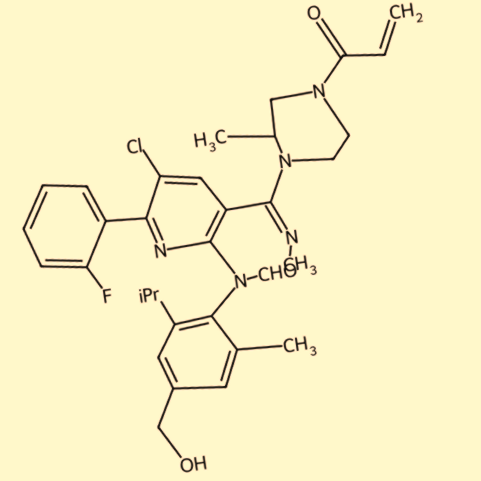 C=CC(=O)N1CCN(/C(=N/C)c2cc(Cl)c(-c3ccccc3F)nc2N(C=O)c2c(C)cc(CO)cc2C(C)C)C(C)C1